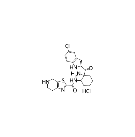 Cl.NC1(C(=O)c2cc3cc(Cl)ccc3[nH]2)CCCCC1NC(=O)c1nc2c(s1)CNCC2